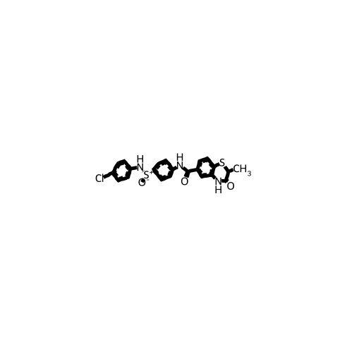 CC1Sc2ccc(C(=O)Nc3ccc([S+]([O-])Nc4ccc(Cl)cc4)cc3)cc2NC1=O